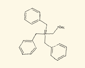 CCCCCCCCCCC[PH](Cc1ccccc1)(Cc1ccccc1)Cc1ccccc1